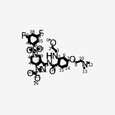 COCCNc1cc(OCCN(C)C)ccc1C(=O)Nc1nn(C(=O)OC)c2c1CN(S(=O)(=O)c1cc(F)cc(F)c1)CC2